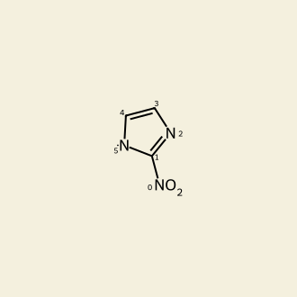 O=[N+]([O-])C1=NC=C[N]1